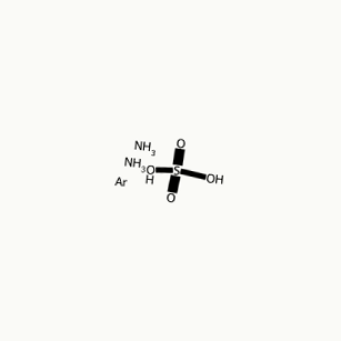 N.N.O=S(=O)(O)O.[Ar]